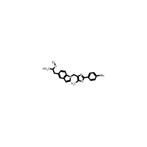 CCOC(Cc1ccc2c(ccn2Cc2nc(-c3ccc(C(C)(C)C)cc3)oc2C)c1)C(=O)O